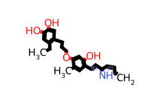 C=C/C=C\C(=N)/C=C/c1cc(C)c(OCCCc2cc(O)c(O)cc2CC)cc1O